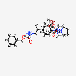 CC(CNC(=O)OCc1ccccc1)c1ccc(N2CC3CCC(C2)N3C(=O)OC(C)(C)C)c(Br)c1